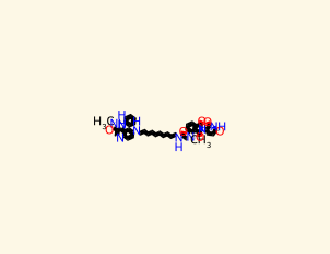 CNC(=O)c1cnc2ccc(NCCCCCCCCCCNC(=O)CN(C)c3cccc4c3C(=O)N(C3CCC(=O)NC3=O)C4=O)cc2c1Nc1ccccc1